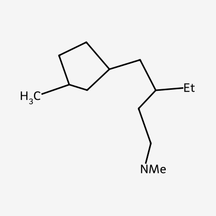 CCC(CCNC)CC1CCC(C)C1